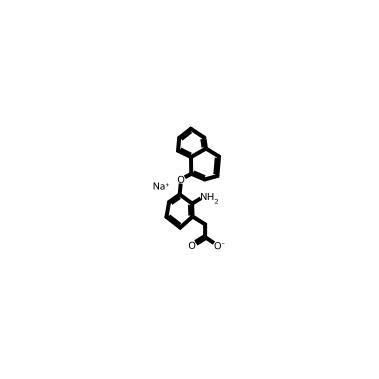 Nc1c(CC(=O)[O-])cccc1Oc1cccc2ccccc12.[Na+]